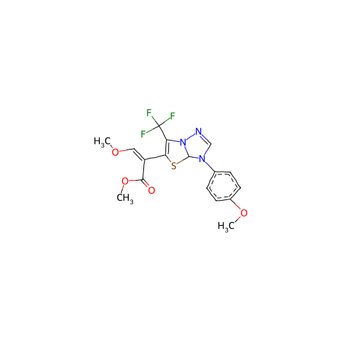 CO/C=C(\C(=O)OC)C1=C(C(F)(F)F)N2N=CN(c3ccc(OC)cc3)C2S1